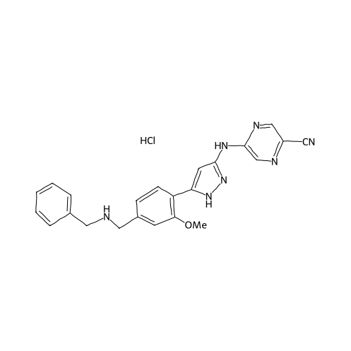 COc1cc(CNCc2ccccc2)ccc1-c1cc(Nc2cnc(C#N)cn2)n[nH]1.Cl